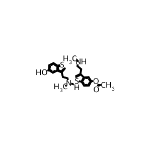 CNCCC1=C[SH](CN(C)CCc2csc3ccc(O)cc23)c2ccc(OC(C)=O)cc21